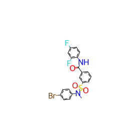 CN(c1ccc(Br)cc1)S(=O)(=O)c1cccc(C(=O)Nc2ccc(F)cc2F)c1